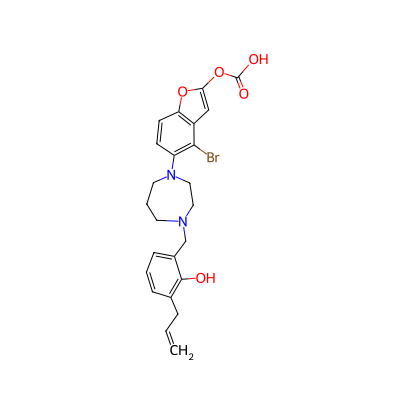 C=CCc1cccc(CN2CCCN(c3ccc4oc(OC(=O)O)cc4c3Br)CC2)c1O